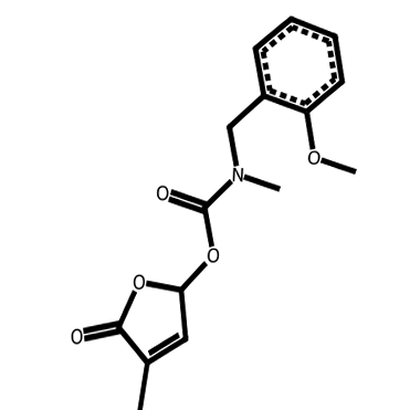 COc1ccccc1CN(C)C(=O)OC1C=C(C)C(=O)O1